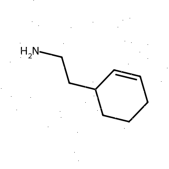 NCCC1C=CCCC1